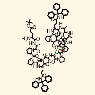 CC[C@H](C)[C@H](NC(=O)[C@@H]1CCCN1C(=O)[C@H]1CCCN1C(=O)[C@H](C)NC(=O)[C@H](C)NC(=O)[C@H](CCC(=O)NC(c1ccccc1)(c1ccccc1)c1ccccc1)NC(=O)[C@@H]1CCCN1C(=O)[C@H]1CCCN1C(=O)[C@H](C)NC(=O)[C@@H](N)CCC(=O)OC(C)(C)C)C(=O)N1CCC[C@H]1C(=O)N[C@@H](CCC(=O)NC(c1ccccc1)(c1ccccc1)c1ccccc1)C(=O)N[C@@H](C)C(=O)N[C@@H](C)C(=O)N[C@@H](CC(C)C)C(=O)O